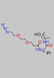 CC(C)[C@H](NC(=O)CCOCCOCCN=[N+]=[N-])C(=O)N[C@@H](C)C(=O)O